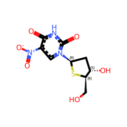 O=c1[nH]c(=O)n([C@H]2C[C@H](O)[C@@H](CO)S2)cc1[N+](=O)[O-]